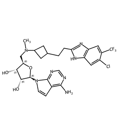 CN(C[C@H]1O[C@@H](n2ccc3c(N)ncnc32)[C@H](O)[C@@H]1O)C1CC(CCc2nc3cc(C(F)(F)F)c(Cl)cc3[nH]2)C1